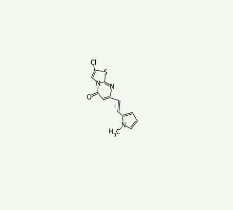 Cn1cccc1/C=C/c1cc(=O)n2cc(Cl)sc2n1